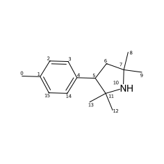 Cc1ccc(C2CC(C)(C)NC2(C)C)cc1